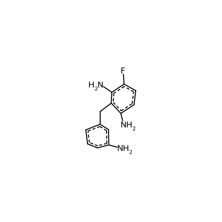 Nc1cccc(Cc2c(N)ccc(F)c2N)c1